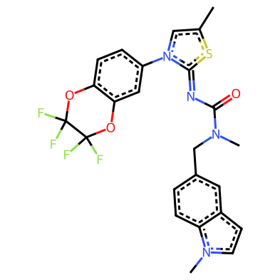 Cc1cn(-c2ccc3c(c2)OC(F)(F)C(F)(F)O3)c(=NC(=O)N(C)Cc2ccc3c(ccn3C)c2)s1